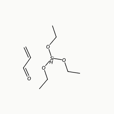 C=CC=O.CCO[SiH](OCC)OCC